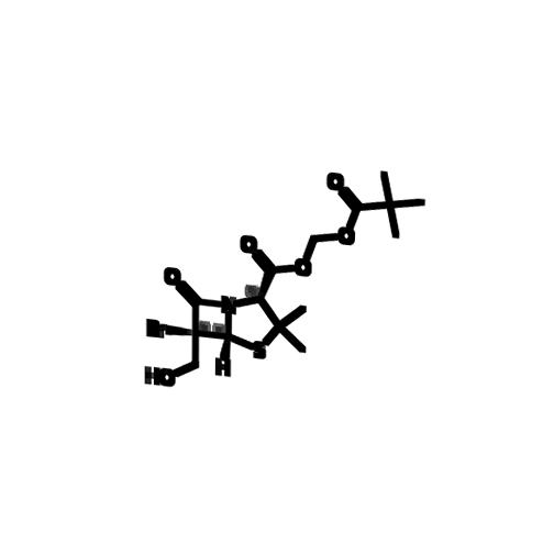 CC(C)(C)C(=O)OCOC(=O)[C@@H]1N2C(=O)[C@@](Br)(CO)[C@H]2SC1(C)C